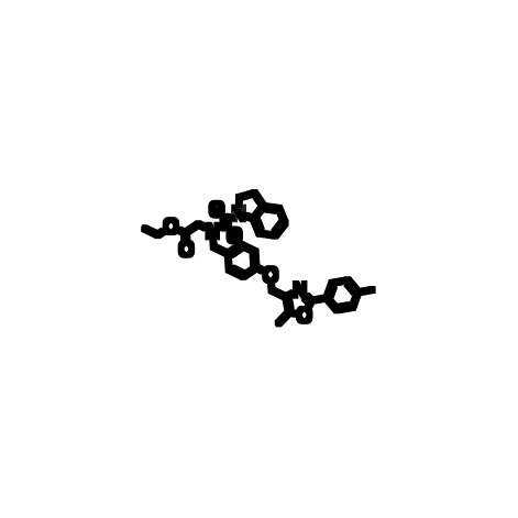 CCOC(=O)CN(Cc1ccc(OCc2nc(-c3ccc(C)cc3)oc2C)cc1)S(=O)(=O)N1CCc2ccccc21